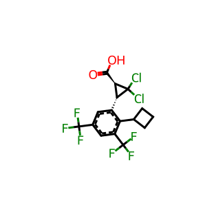 O=C(O)[C@@H]1[C@@H](c2cc(C(F)(F)F)cc(C(F)(F)F)c2C2CCC2)C1(Cl)Cl